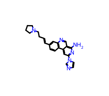 Nc1nc(-n2ccnc2)cc2c1cnc1cc(C=CCCN3CCCC3)ccc12